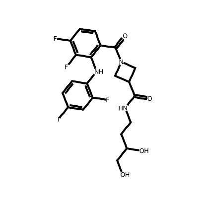 O=C(NCCC(O)CO)C1CN(C(=O)c2ccc(F)c(F)c2Nc2ccc(I)cc2F)C1